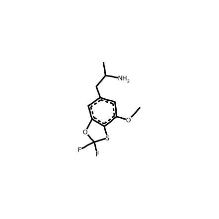 COc1cc(CC(C)N)cc2c1SC(F)(F)O2